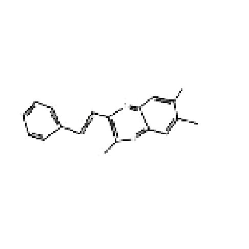 Clc1cc2nc(Cl)c(/C=C/c3ccccc3)nc2cc1Cl